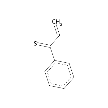 C=CC(=S)c1ccccc1